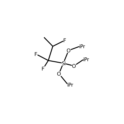 CC(C)O[Si](OC(C)C)(OC(C)C)C(F)(F)C(C)F